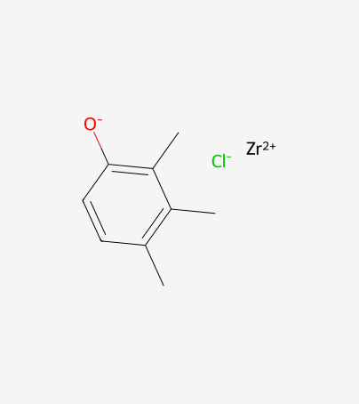 Cc1ccc([O-])c(C)c1C.[Cl-].[Zr+2]